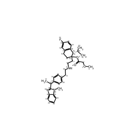 COCC(=O)O[C@]1(CCNCCc2ccc(C(C)c3nc4ccccc4n3C)cc2)CCc2cc(F)ccc2[C@@H]1C(C)C